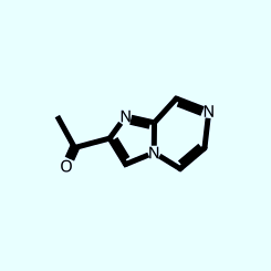 CC(=O)c1cn2ccncc2n1